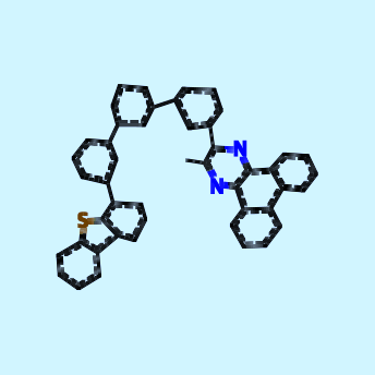 Cc1nc2c3ccccc3c3ccccc3c2nc1-c1cccc(-c2cccc(-c3cccc(-c4cccc5c4sc4ccccc45)c3)c2)c1